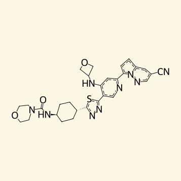 N#Cc1cnn2c(-c3cc(NC4COC4)c(-c4nnc([C@H]5CC[C@H](NC(=O)N6CCOCC6)CC5)s4)cn3)ccc2c1